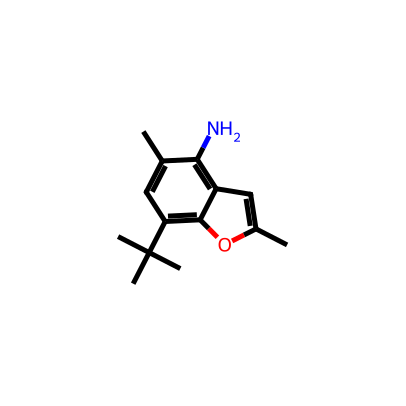 Cc1cc2c(N)c(C)cc(C(C)(C)C)c2o1